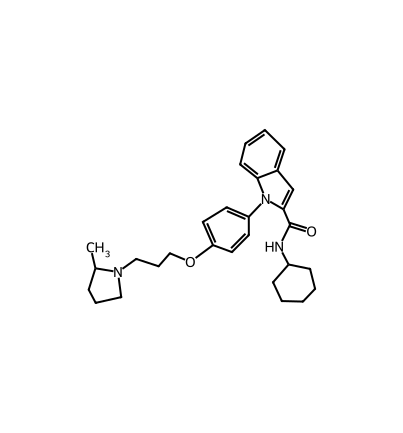 CC1CCCN1CCCOc1ccc(-n2c(C(=O)NC3CCCCC3)cc3ccccc32)cc1